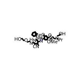 COc1cc(S(=O)(=O)CCN(CCO)C(C)C)c(OC)cc1/N=N/c1c(Nc2ccccc2)nc(NCCOCCO)c(C#N)c1C